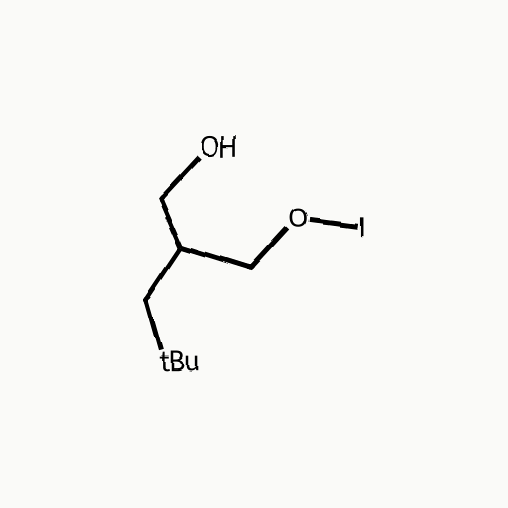 CC(C)(C)CC(CO)COI